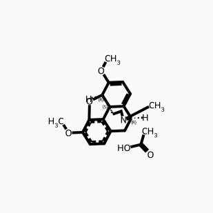 CC(=O)O.COC1=CC=C2[C@H]3Cc4ccc(OC)c5c4[C@@]2(CCN3C)[C@H]1O5